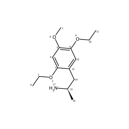 CCOc1cc(OC)c(OCC)cc1C[C@@H](C)N